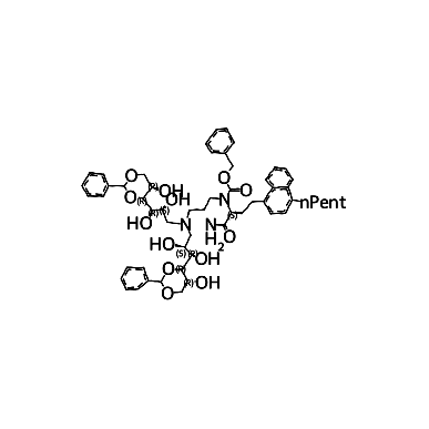 CCCCCc1ccc(CC[C@@H](C(N)=O)N(CCCN(C[C@H](O)[C@@H](O)[C@@H]2OC(c3ccccc3)OC[C@H]2O)C[C@H](O)[C@@H](O)[C@@H]2OC(c3ccccc3)OC[C@H]2O)C(=O)OCc2ccccc2)c2ccccc12